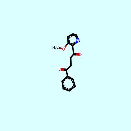 COc1cccnc1C(=O)CCC(=O)c1ccccc1